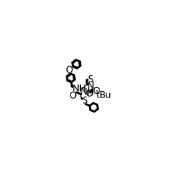 CC(C)(C)OC(=O)N1CSC[C@H]1CN[C@@H](CSCC1CCCCC1)C(=O)NCc1ccc(Oc2ccccc2)cc1